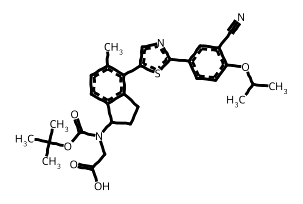 Cc1ccc2c(c1-c1cnc(-c3ccc(OC(C)C)c(C#N)c3)s1)CCC2N(CC(=O)O)C(=O)OC(C)(C)C